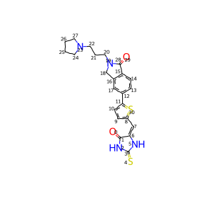 O=C1NC(=S)NC1=Cc1ccc(-c2ccc3c(c2)CN(CCCN2CCCC2)C3=O)s1